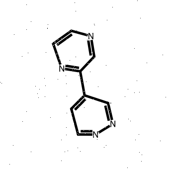 [c]1nnccc1-c1cnccn1